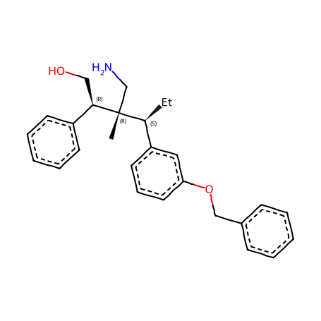 CC[C@@H](c1cccc(OCc2ccccc2)c1)[C@@](C)(CN)[C@H](CO)c1ccccc1